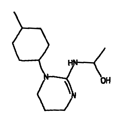 CC1CCC(N2CCCN=C2NC(C)O)CC1